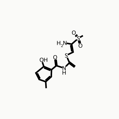 C=C(NC(=O)c1cc(C)ccc1O)S/C=C(\N)S(C)(=O)=O